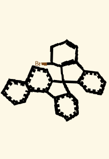 BrC1CC=CC2=C1C1(c3ccccc32)c2ccccc2-c2c1ccc1ccccc21